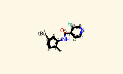 Cc1ccc(C(C)(C)C)cc1NC(=O)c1ccncc1F